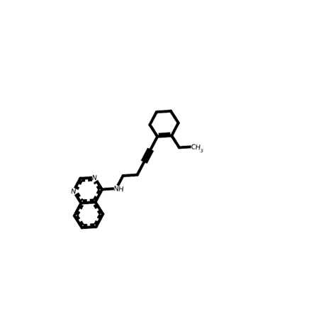 CCC1=C(C#CCCNc2ncnc3ccccc23)CCCC1